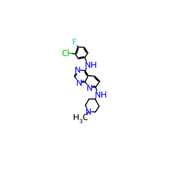 CN1CCC(Nc2ccc3c(Nc4ccc(F)c(Cl)c4)ncnc3n2)CC1